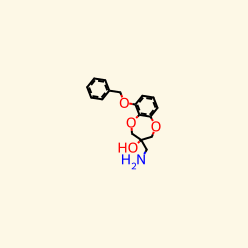 NCC1(O)COc2cccc(OCc3ccccc3)c2OC1